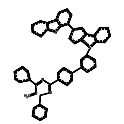 C=N/C(=N\C(=N/Cc1ccccc1)c1ccc(-c2cccc(-n3c4ccccc4c4cc(-c5cccc6c5sc5ccccc56)ccc43)c2)cc1)c1ccccc1